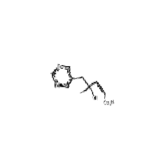 CC(O)(/C=C\C(=O)O)Cc1cncnc1